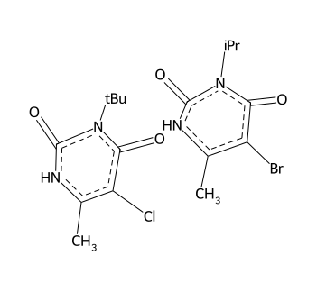 Cc1[nH]c(=O)n(C(C)(C)C)c(=O)c1Cl.Cc1[nH]c(=O)n(C(C)C)c(=O)c1Br